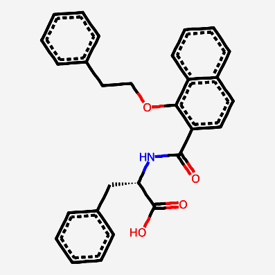 O=C(N[C@@H](Cc1ccccc1)C(=O)O)c1ccc2ccccc2c1OCCc1ccccc1